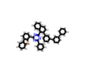 c1ccc(-c2cccc(-c3cccc(-c4ccc5ccccc5c4-c4nc(-c5ccccc5)nc(-c5cccc6c5sc5ccccc56)n4)c3)c2)cc1